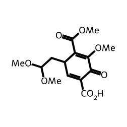 COC(=O)C1=C(OC)C(=O)C(C(=O)O)=CC1CC(OC)OC